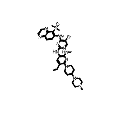 CCc1cc(Nc2ncc(Br)c(Nc3ccc4nccnc4c3P(C)(C)=O)n2)c(NC)nc1N1CCC(N2CCN(C)CC2)CC1